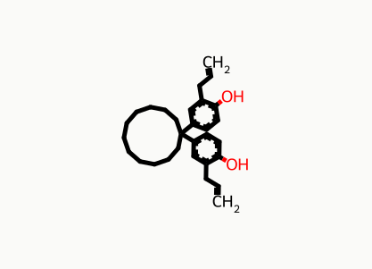 C=CCc1cc(C2(c3ccc(O)c(CC=C)c3)CCCCCCCCCCC2)ccc1O